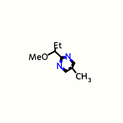 CCC(OC)c1ncc(C)cn1